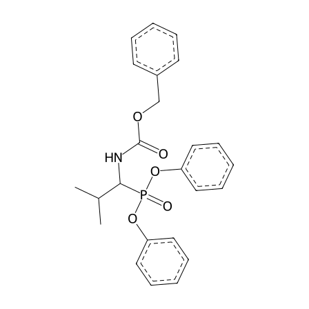 CC(C)C(NC(=O)OCc1ccccc1)P(=O)(Oc1ccccc1)Oc1ccccc1